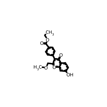 CCOC(=O)c1ccc(-c2c(COC)oc3cc(O)ccc3c2=O)cc1